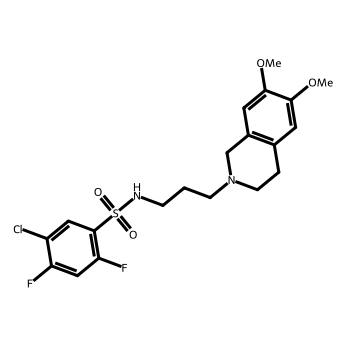 COc1cc2c(cc1OC)CN(CCCNS(=O)(=O)c1cc(Cl)c(F)cc1F)CC2